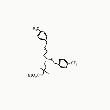 CCOC(=O)CC(C)(C)CC[C@H](CCSCc1ccc(C(F)(F)F)cc1)SCc1ccc(C(F)(F)F)cc1